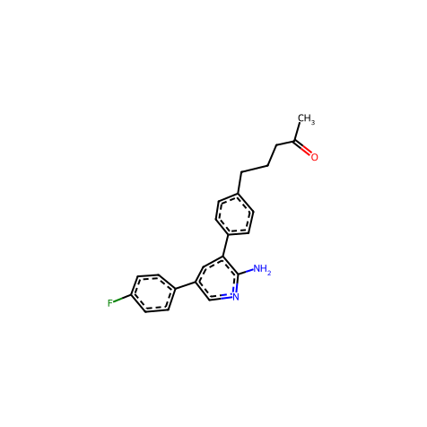 CC(=O)CCCc1ccc(-c2cc(-c3ccc(F)cc3)cnc2N)cc1